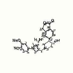 COc1cc(-n2cnc(CN3CC[C@@H](O)[C@H](c4ccc5c(c4N)COC5=O)C3)c2)ccc1C#N